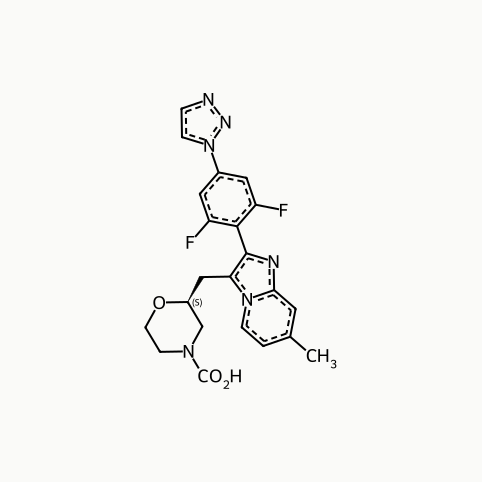 Cc1ccn2c(C[C@H]3CN(C(=O)O)CCO3)c(-c3c(F)cc(-n4ccnn4)cc3F)nc2c1